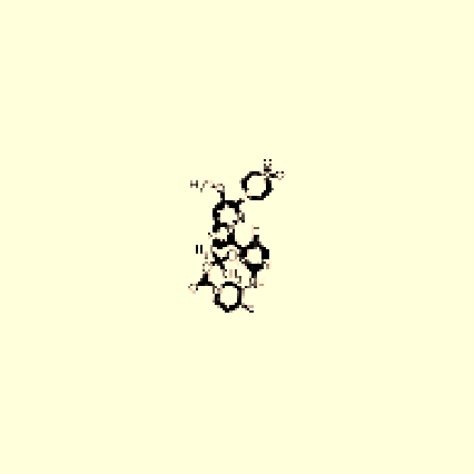 COc1cc2ncc(-c3nc(N[C@H]4CN(C(=O)OC(C)(C)C)CC[C@@H]4F)ncc3F)n2nc1N1CCS(=O)(=O)CC1